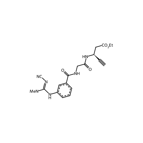 C#C[C@H](CC(=O)OCC)NC(=O)CNC(=O)c1cccc(NC(=NC#N)NC)c1